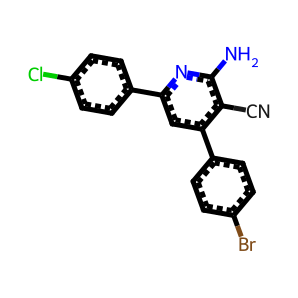 N#Cc1c(-c2ccc(Br)cc2)cc(-c2ccc(Cl)cc2)nc1N